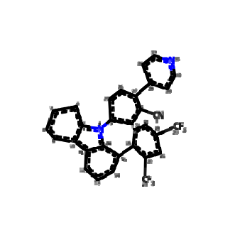 N#Cc1cc(-n2c3ccccc3c3cccc(-c4ccc(C(F)(F)F)cc4C(F)(F)F)c32)ccc1-c1ccncc1